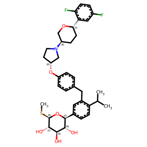 CS[C@H]1O[C@@H](c2ccc(C(C)C)c(Cc3ccc(O[C@@H]4CCN([C@@H]5CC[C@@H](c6cc(F)ccc6F)OC5)C4)cc3)c2)[C@H](O)[C@@H](O)[C@@H]1O